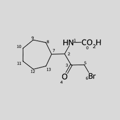 O=C(O)NC(C(=O)CBr)C1CCCCCC1